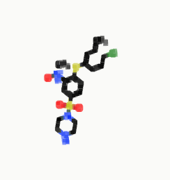 C=C/C=C(\C=C/CCl)Sc1ccc(S(=O)(=O)N2CCNCC2)cc1[NH+](C)[O-]